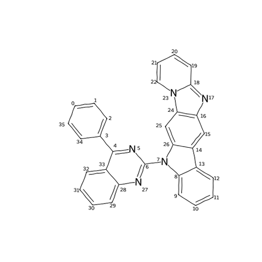 c1ccc(-c2nc(-n3c4ccccc4c4cc5nc6ccccn6c5cc43)nc3ccccc23)cc1